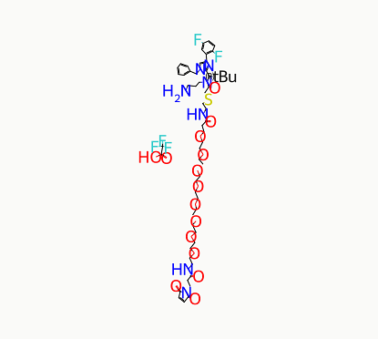 CC(C)(C)[C@H](c1nc(-c2cc(F)ccc2F)cn1Cc1ccccc1)N(CCCN)C(=O)CSCCNC(=O)CCOCCOCCOCCOCCOCCOCCOCCOCCNC(=O)CCN1C(=O)C=CC1=O.O=C(O)C(F)(F)F